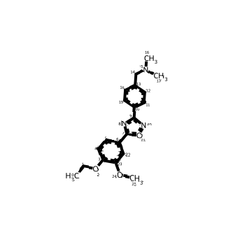 CCOc1ccc(-c2nc(-c3ccc(CN(C)C)cc3)no2)cc1OC